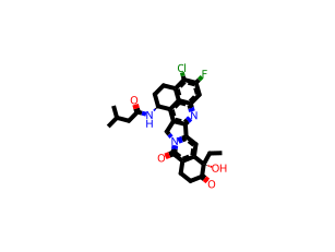 CC[C@@]1(O)C(=O)CCc2c1cc1n(c2=O)Cc2c-1nc1cc(F)c(Cl)c3c1c2[C@H](NC(=O)CC(C)C)CC3